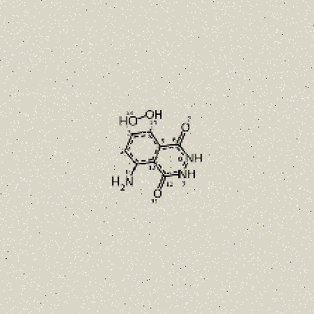 Nc1cccc2c(=O)[nH][nH]c(=O)c12.OO